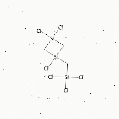 Cl[Si](Cl)(Cl)C[Si]1(Cl)C[Si](Cl)(Cl)C1